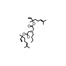 C=CC(C)(CCC=C(C)C)OC(=O)CN(CCCC)CC(=O)OC(C)(C=C)CCC=C(C)C